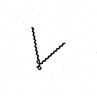 CCCCCCCCCCCCCCCCCCOC(CCCCCCCCCCCCCCCCC)C1CO1